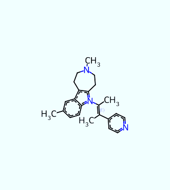 C/C(=C(/C)n1c2c(c3cc(C)ccc31)CCN(C)CC2)c1ccncc1